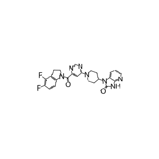 O=C(c1cc(N2CCC(n3c(=O)[nH]c4ncccc43)CC2)ncn1)N1CCc2c1ccc(F)c2F